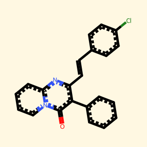 O=c1c(-c2ccccc2)c(/C=C/c2ccc(Cl)cc2)nc2ccccn12